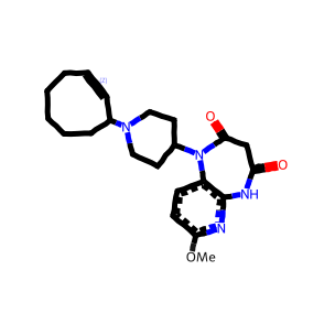 COc1ccc2c(n1)NC(=O)CC(=O)N2C1CCN(C2/C=C\CCCCC2)CC1